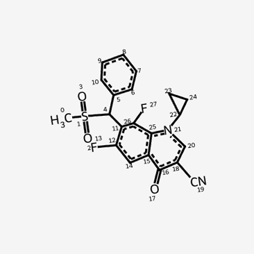 CS(=O)(=O)C(c1ccccc1)c1c(F)cc2c(=O)c(C#N)cn(C3CC3)c2c1F